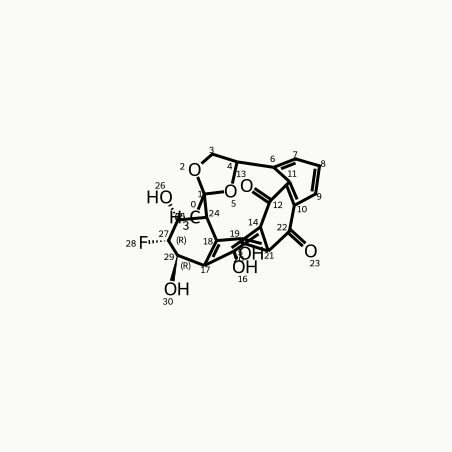 CC12OCC(O1)c1cccc3c1C(=O)c1c(O)c4c(c(O)c1C3=O)C2[C@@H](O)[C@@H](F)[C@@H]4O